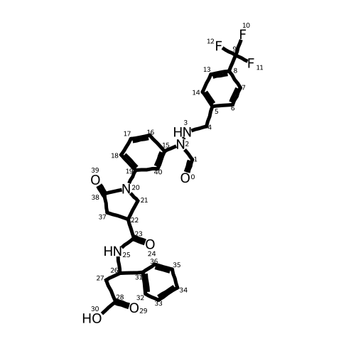 O=CN(NCc1ccc(C(F)(F)F)cc1)c1cccc(N2CC(C(=O)NC(CC(=O)O)c3ccccc3)CC2=O)c1